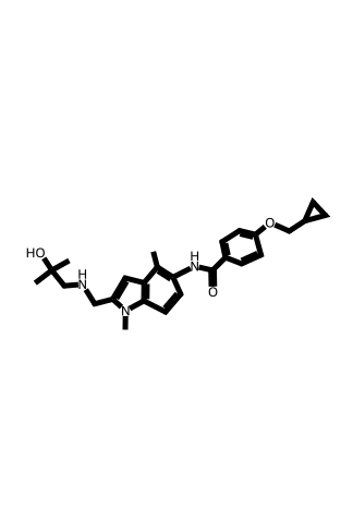 Cc1c(NC(=O)c2ccc(OCC3CC3)cc2)ccc2c1cc(CNCC(C)(C)O)n2C